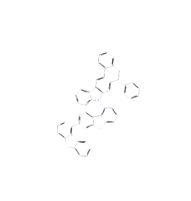 c1ccc(C2Cc3ccccc3-c3cc4c5ccccc5n(-c5cccc6oc7cc(-c8cccc9oc%10ccccc%10c89)ccc7c56)c4cc32)cc1